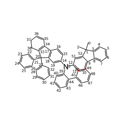 CC1(C)c2ccccc2-c2ccc(N(c3ccc4c(c3)C(c3ccccc3)(c3ccccc3)C3=C4C=CCC3)c3ccccc3-c3ccccc3)cc21